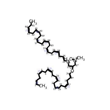 C/C=C\C/C=C\C/C=C\C/C=C\C/C=C\C/C=C\CCCOC(COCCC/C=C\C/C=C\C/C=C\C/C=C\C/C=C\C/C=C\CC)CN(C)C